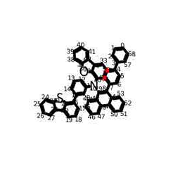 c1ccc(-c2ccc(-c3c(N(c4cccc(-c5cccc6c5sc5ccccc56)c4)c4cccc5c4oc4ccccc45)c4ccccc4c4ccccc34)cc2)cc1